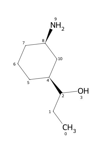 CCC(O)[C@H]1CCC[C@@H](N)C1